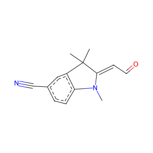 CN1C(=CC=O)C(C)(C)c2cc(C#N)ccc21